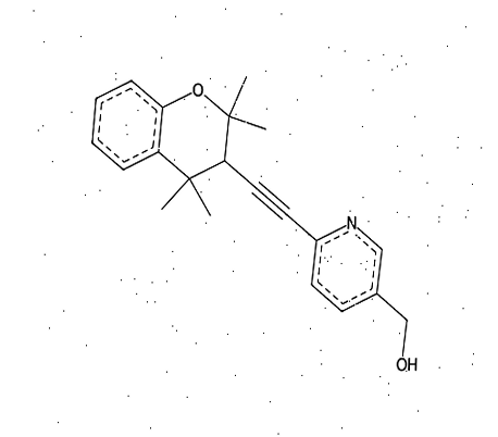 CC1(C)Oc2ccccc2C(C)(C)C1C#Cc1ccc(CO)cn1